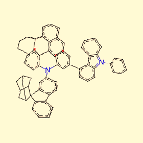 c1ccc(-n2c3ccccc3c3c(-c4cccc(N(c5ccc6c(c5)C5(c7ccccc7-6)C6CC7CC6CC75)c5ccccc5-c5cccc6cccc(C7CCCCC7)c56)c4)cccc32)cc1